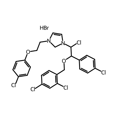 Br.Clc1ccc(OCCN2C=CN(C(Cl)C(OCc3ccc(Cl)cc3Cl)c3ccc(Cl)cc3)C2)cc1